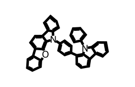 c1ccc(-n2c3ccccc3c3cccc(-c4ccc(-n5c6ccccc6c6ccc7c8ccccc8oc7c65)cc4)c32)cc1